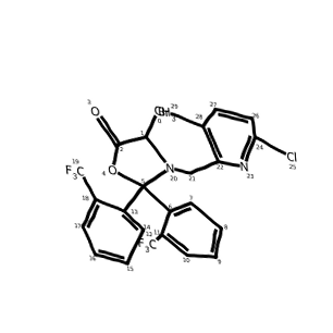 CC1C(=O)OC(c2ccccc2C(F)(F)F)(c2ccccc2C(F)(F)F)N1Cc1nc(Cl)ccc1Br